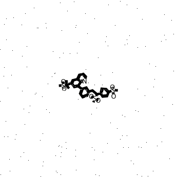 CC(C)(c1cc(-c2cccc(CC(c3ccc(S(C)(=O)=O)cc3)S(C)(=O)=O)c2)c2ncccc2c1)S(C)(=O)=O